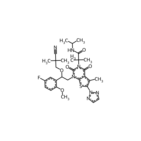 COc1ccc(F)cc1C(Cn1c(=O)n(C(C)(C)C(=O)NC(C)C)c(=O)c2c(C)c(-n3nccn3)sc21)OCC(C)(C)C#N